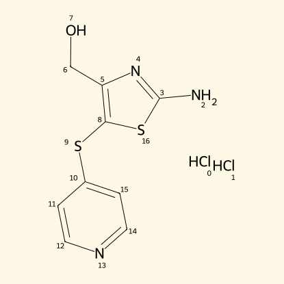 Cl.Cl.Nc1nc(CO)c(Sc2ccncc2)s1